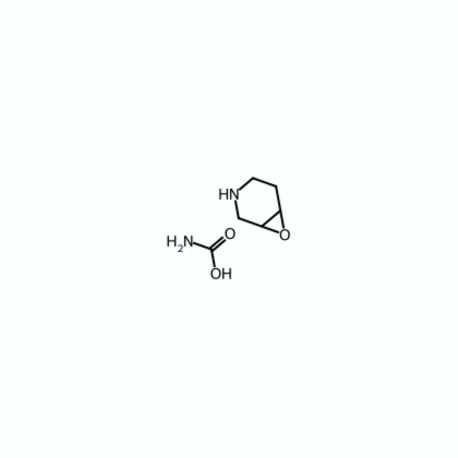 C1CC2OC2CN1.NC(=O)O